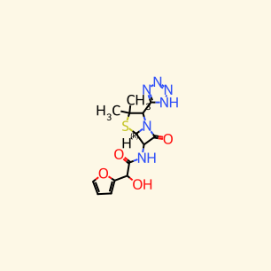 CC1(C)S[C@@H]2C(NC(=O)C(O)c3ccco3)C(=O)N2C1c1nnn[nH]1